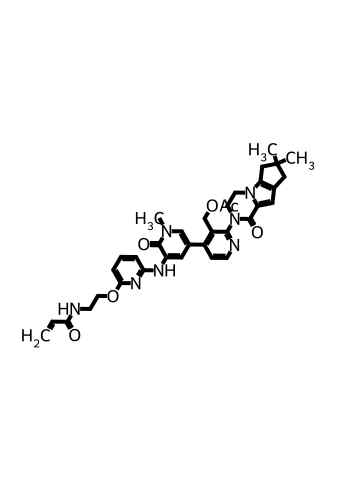 C=CC(=O)NCCOc1cccc(Nc2cc(-c3ccnc(N4CCn5c(cc6c5CC(C)(C)C6)C4=O)c3COC(C)=O)cn(C)c2=O)n1